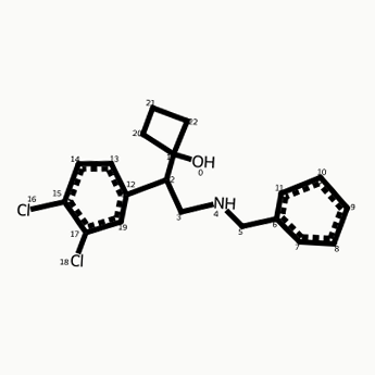 OC1(C(CNCc2ccccc2)c2ccc(Cl)c(Cl)c2)CCC1